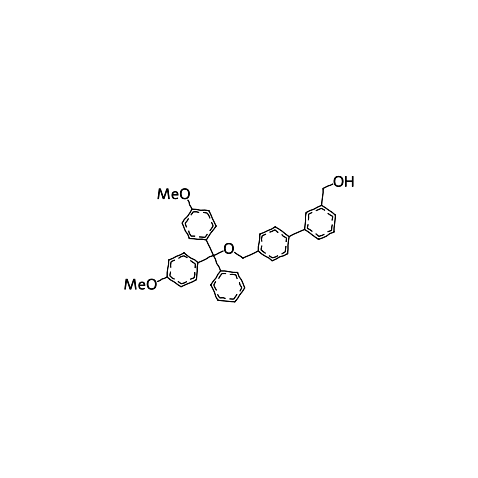 COc1ccc(C(OCc2ccc(-c3cccc(CO)c3)cc2)(c2ccccc2)c2ccc(OC)cc2)cc1